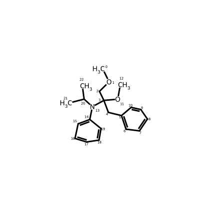 COCC(Cc1ccccc1)(OC)N(c1ccccc1)C(C)C